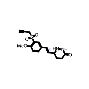 C#CCS(=O)(=O)c1cc(/C=C/C2CCC(=O)NN2)ccc1OC